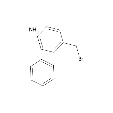 BrCc1ccccc1.N.c1ccccc1